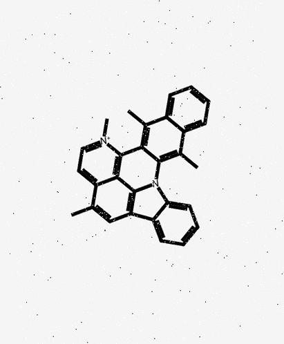 Cc1cc2c3ccccc3n3c4c(C)c5ccccc5c(C)c4c4c(c1cc[n+]4C)c23